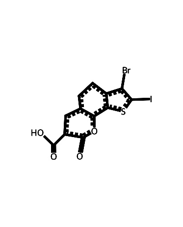 O=C(O)c1cc2ccc3c(Br)c(I)sc3c2oc1=O